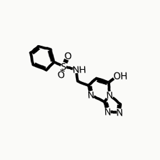 O=S(=O)(NCc1cc(O)n2cnnc2n1)c1ccccc1